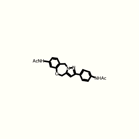 CC(=O)Nc1ccc(-c2cc3n(n2)Cc2ccc(NC(C)=O)cc2OC3)cc1